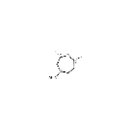 CNN1CC[C@@H](C)O[C@@H](C)C1